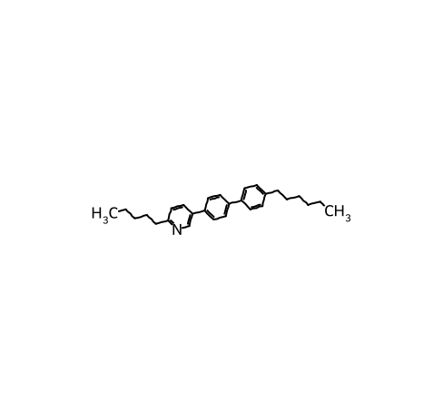 CCCCCCc1ccc(-c2ccc(-c3ccc(CCCCC)nc3)cc2)cc1